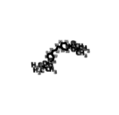 CC(C)(C)OC(=O)N1CCC(CCCC2CCN(C(=O)OC(C)(C)C)CC2)CC1